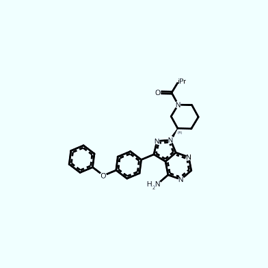 CC(C)C(=O)N1CCC[C@@H](n2nc(-c3ccc(Oc4ccccc4)cc3)c3c(N)ncnc32)C1